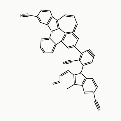 C=C/C=C\c1c(C)c2cc(C#N)ccc2n1-c1cc#cc(-c2cccc(-c3ccccc3-n3c4c(c5ccc(C#N)cc53)C=CC=CC4)c2)c1C#N